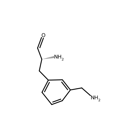 NCc1cccc(C[C@@H](N)C=O)c1